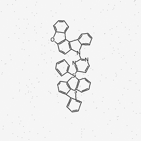 c1ccc([Si](c2ccccc2)(c2ccnc(-n3c4ccccc4c4c5c(ccc43)oc3ccccc35)n2)c2cccc3c2sc2ccccc23)cc1